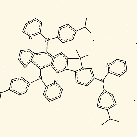 CC(C)c1ccc(N(c2ccc3c(c2)C(C)(C)c2cc4c(N(c5ccc(C(C)C)cc5)c5ccccn5)c5ccccc5c(N(c5ccc(C(C)C)cc5)c5ccccn5)c4cc2-3)c2ccccn2)cc1